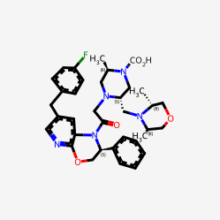 C[C@@H]1CN(CC(=O)N2c3cc(Cc4ccc(F)cc4)cnc3OC[C@@H]2c2ccccc2)[C@@H](CN2[C@H](C)COC[C@H]2C)CN1C(=O)O